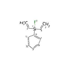 C=C[Si](F)(C=C)c1ccccc1